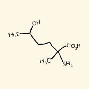 CC(O)CCC(C)(N)C(=O)O